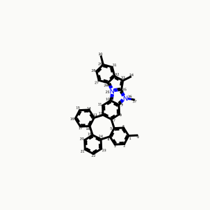 Cc1ccc2c(c1)-c1cc3c(cc1-c1ccccc1-c1ccccc1-2)n1c2ccc(C)cc2c(C)c1n3C